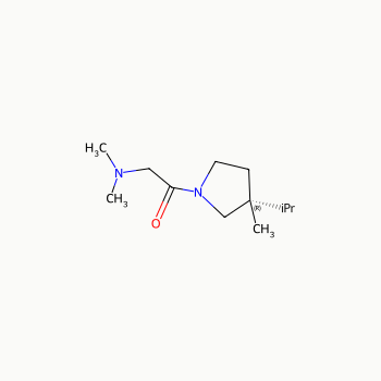 CC(C)[C@@]1(C)CCN(C(=O)CN(C)C)C1